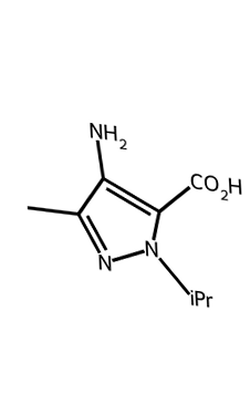 Cc1nn(C(C)C)c(C(=O)O)c1N